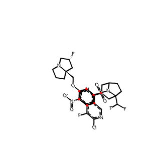 O=[N+]([O-])c1ccc(S(=O)(=O)N2C3CCC2(C(F)F)CN(c2nc(OC[C@@]45CCCN4C[C@H](F)C5)nc4c(F)c(Cl)ncc24)C3)cc1